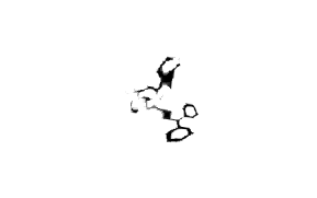 O=c1cc(-c2ccncc2)nc2n1CCCN2CCC(c1ccccc1)c1ccccc1